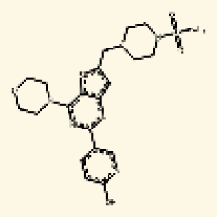 CS(=O)(=O)N1CCN(Cc2cc3nc(-c4ccc(O)nc4)nc(N4CCOCC4)c3s2)CC1